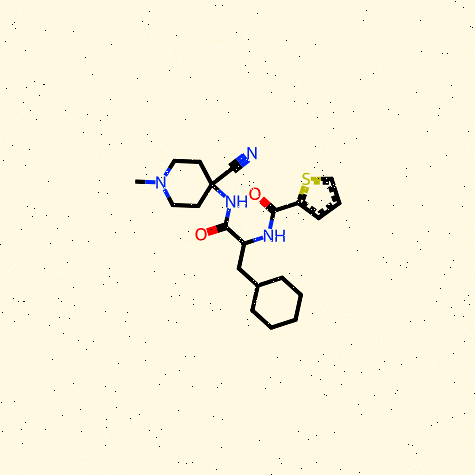 CN1CCC(C#N)(NC(=O)C(CC2CCCCC2)NC(=O)c2cccs2)CC1